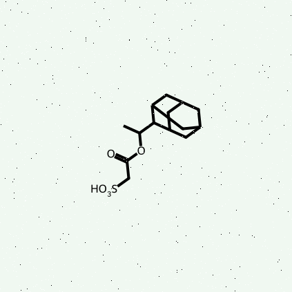 CC(OC(=O)CS(=O)(=O)O)C1C2CC3CC(C2)CC1C3